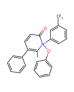 CC1=C(c2ccccc2)C=CC(=O)[N+]1(Oc1ccccc1)c1cccc(C(F)(F)F)c1